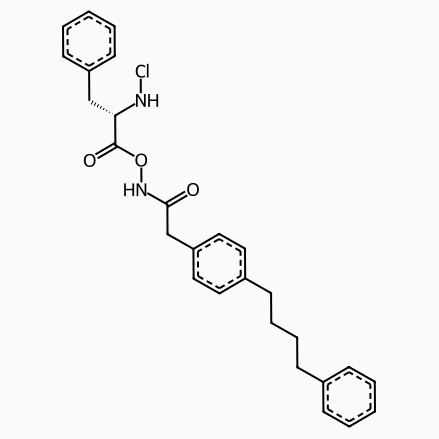 O=C(Cc1ccc(CCCCc2ccccc2)cc1)NOC(=O)[C@H](Cc1ccccc1)NCl